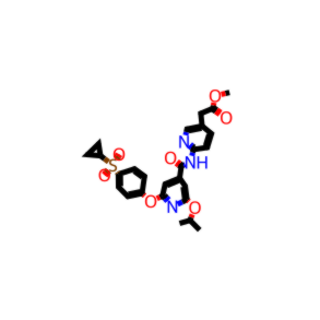 COC(=O)Cc1ccc(NC(=O)c2cc(Oc3ccc(S(=O)(=O)C4CC4)cc3)nc(OC(C)C)c2)nc1